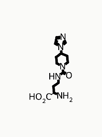 N[C@@H](CCNC(=O)N1CCC(n2ccnc2)CC1)C(=O)O